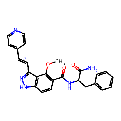 COc1c(C(=O)NC(Cc2ccccc2)C(N)=O)ccc2[nH]nc(/C=C/c3ccncc3)c12